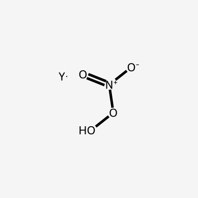 O=[N+]([O-])OO.[Y]